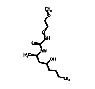 CCCCC(O)CC(C)NC(=O)NOCCOC